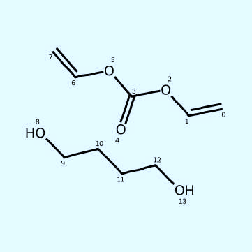 C=COC(=O)OC=C.OCCCCO